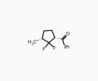 CC(C)C(=O)[C@H]1CC[C@@H](C)C1(F)F